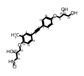 Cc1cc(C#Cc2ccc(OC[C@H](O)CO)cc2)ccc1OC[C@H](O)CNCl